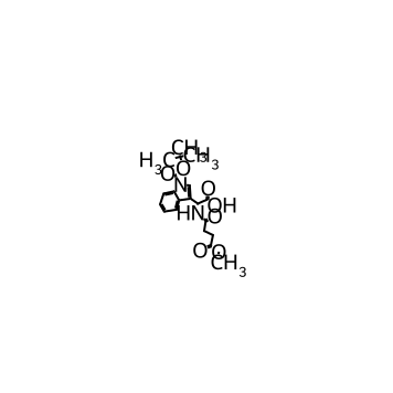 COC(=O)CCC(=O)NC(C(=O)O)c1cn(C(=O)OC(C)(C)C)c2ccccc12